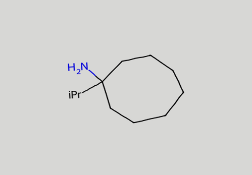 CC(C)C1(N)CCCCCCC1